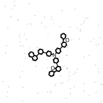 c1cc(-c2ccc(N(c3ccc(-c4ccc5oc6ccccc6c5c4)cc3)c3ccc(-c4cccc5c4oc4ccccc45)cc3)cc2)cc(-c2cccc3ccccc23)c1